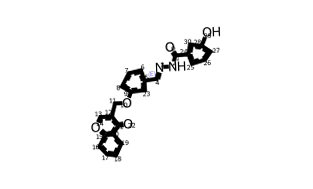 O=C(N/N=C/c1cccc(OCc2coc3ccccc3c2=O)c1)c1cccc(O)c1